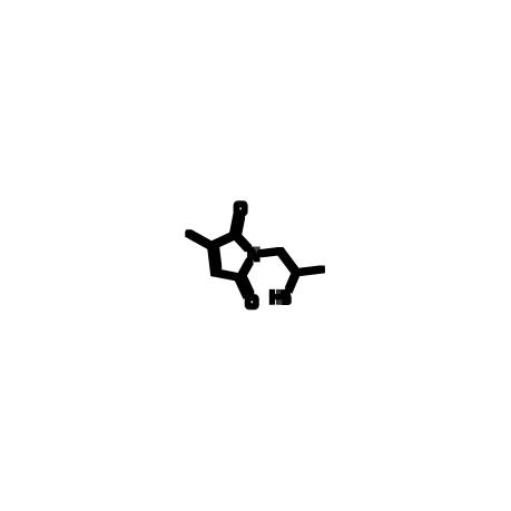 CC1=CC(=O)N(CC(C)S)C1=O